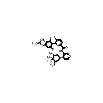 CC(C)Oc1cc(F)c(-c2nc(C(=O)Nc3cnccc3[C@H]3C[C@@H](N)[C@](C)(O)[C@@H](C)C3)ccc2F)c(F)c1